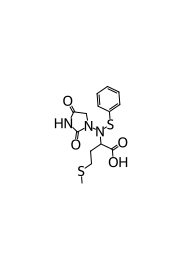 CSCCC(C(=O)O)N(Sc1ccccc1)N1CC(=O)NC1=O